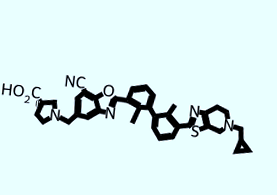 Cc1c(-c2nc3cc(CN4CC[C@@H](C(=O)O)C4)cc(C#N)c3o2)cccc1-c1cccc(-c2nc3c(s2)CN(CC2CC2)CC3)c1C